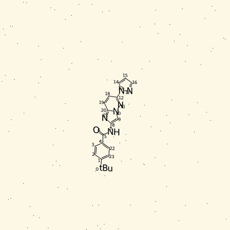 CC(C)(C)c1ccc(C(=O)Nc2cn3nc(-n4cccn4)ccc3n2)cc1